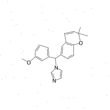 COc1cccc(C(c2ccc3c(c2)C=CC(C)(C)O3)n2ccnc2)c1